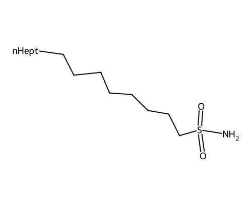 CCCCCCCCCCCCCCCS(N)(=O)=O